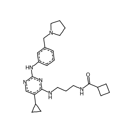 O=C(NCCCNc1nc(Nc2cccc(CN3CCCC3)c2)ncc1C1CC1)C1CCC1